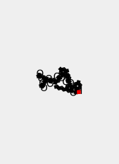 CCCCCc1cc(OC(=O)CC(C)(C)c2c(C)cc(C)cc2OC(=O)CC(C)CC(=O)OC(COC(C)=O)COC(C)=O)c2c(c1)OC(C)(C)[C@@H]1CCC(C)=CC21